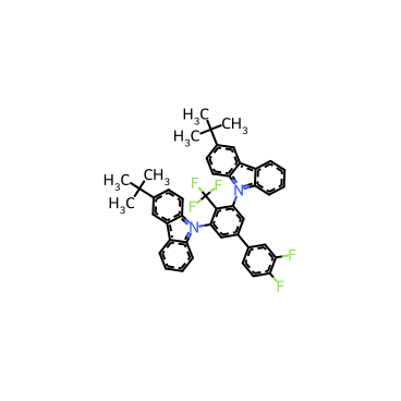 CC(C)(C)c1ccc2c(c1)c1ccccc1n2-c1cc(-c2ccc(F)c(F)c2)cc(-n2c3ccccc3c3cc(C(C)(C)C)ccc32)c1C(F)(F)F